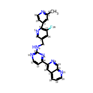 Cc1cc(-c2ncc(CNc3nccc(-c4cc5cccnc5cn4)n3)cc2F)ccn1